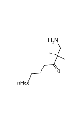 CCCCCCCCCC(=O)C(C)(C)CN